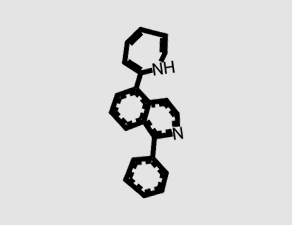 C1=CC=C(c2cccc3c(-c4ccccc4)nccc23)NC=C1